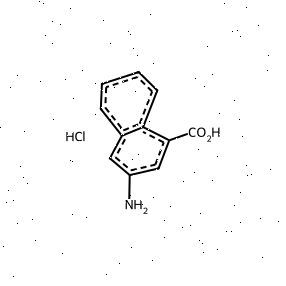 Cl.Nc1cc(C(=O)O)c2ccccc2c1